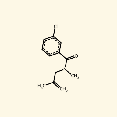 C=C(C)CN(C)C(=O)c1cccc(Cl)c1